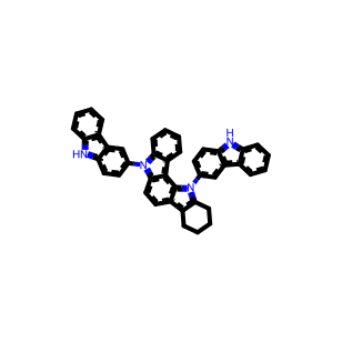 c1ccc2c(c1)[nH]c1ccc(-n3c4c(c5ccc6c(c7ccccc7n6-c6ccc7[nH]c8ccccc8c7c6)c53)CCCC4)cc12